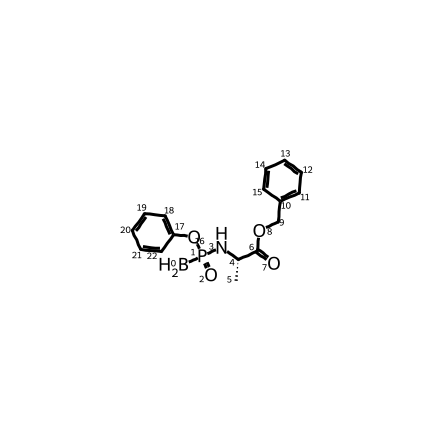 BP(=O)(N[C@@H](C)C(=O)OCc1ccccc1)Oc1ccccc1